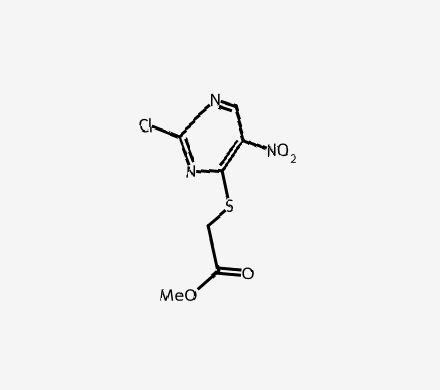 COC(=O)CSc1nc(Cl)ncc1[N+](=O)[O-]